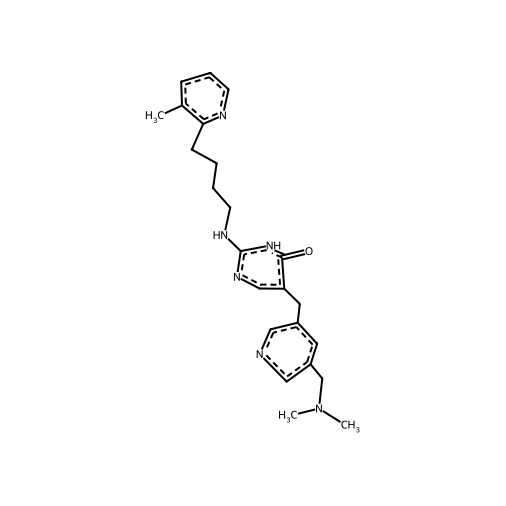 Cc1cccnc1CCCCNc1ncc(Cc2cncc(CN(C)C)c2)c(=O)[nH]1